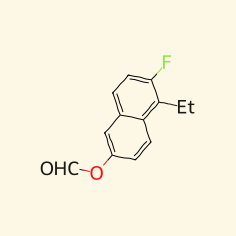 CCc1c(F)ccc2cc(OC=O)ccc12